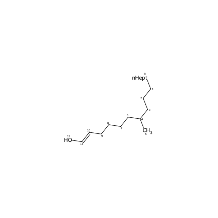 CCCCCCCCCCC(C)CCCCC=CO